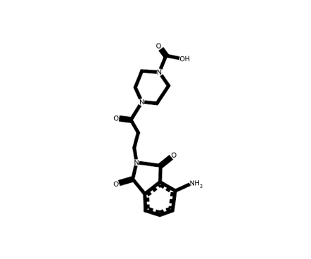 Nc1cccc2c1C(=O)N(CCC(=O)N1CCN(C(=O)O)CC1)C2=O